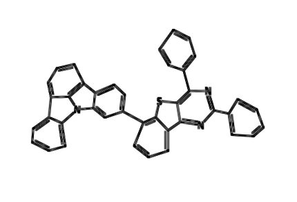 c1ccc(-c2nc(-c3ccccc3)c3sc4c(-c5ccc6c7cccc8c9ccccc9n(c6c5)c87)cccc4c3n2)cc1